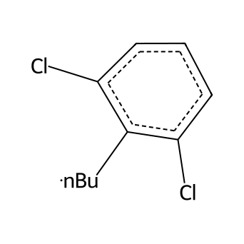 CCC[CH]c1c(Cl)cccc1Cl